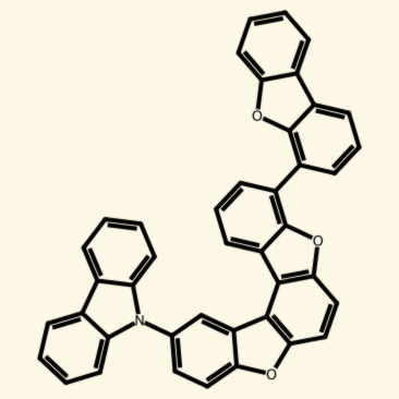 c1ccc2c(c1)oc1c(-c3cccc4c3oc3ccc5oc6ccc(-n7c8ccccc8c8ccccc87)cc6c5c34)cccc12